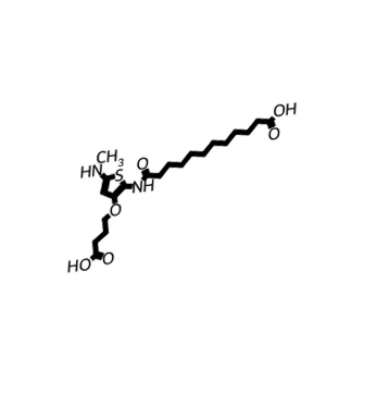 CNc1cc(OCCCC(=O)O)c(NC(=O)CCCCCCCCCCC(=O)O)s1